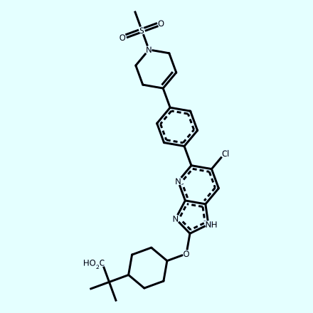 CC(C)(C(=O)O)C1CCC(Oc2nc3nc(-c4ccc(C5=CCN(S(C)(=O)=O)CC5)cc4)c(Cl)cc3[nH]2)CC1